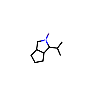 CC(C)C1C2CCCC2CN1I